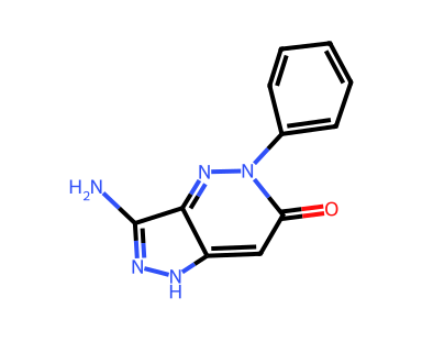 Nc1n[nH]c2cc(=O)n(-c3ccccc3)nc12